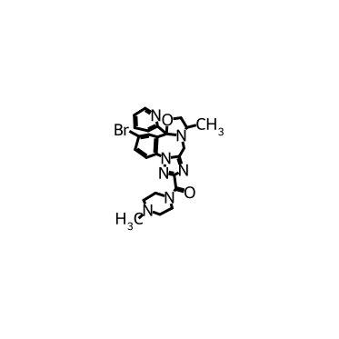 CC1COC2(c3ccccn3)c3cc(Br)ccc3-n3nc(C(=O)N4CCN(C)CC4)nc3CN12